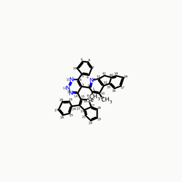 Cc1c(-c2c(-c3ccccc3)nnnc2-c2[se]c3ccccc3c2-c2ccccc2)nc2c(c1C)-c1ccccc1C2